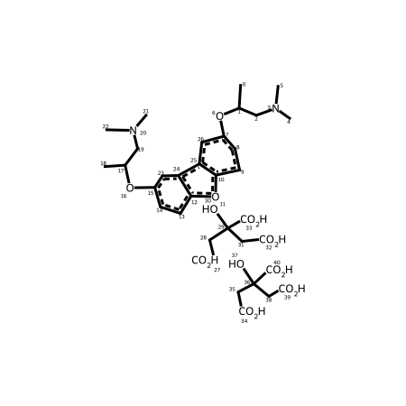 CC(CN(C)C)Oc1ccc2oc3ccc(OC(C)CN(C)C)cc3c2c1.O=C(O)CC(O)(CC(=O)O)C(=O)O.O=C(O)CC(O)(CC(=O)O)C(=O)O